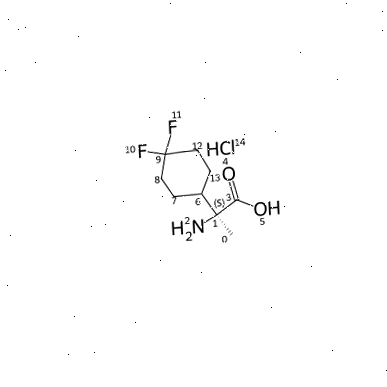 C[C@@](N)(C(=O)O)C1CCC(F)(F)CC1.Cl